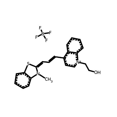 CN1/C(=C\C=C\c2cc[n+](CCO)c3ccccc23)Sc2ccccc21.F[B-](F)(F)F